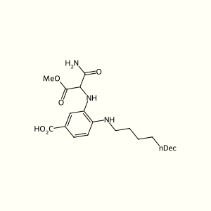 CCCCCCCCCCCCCCNc1ccc(C(=O)O)cc1NC(C(N)=O)C(=O)OC